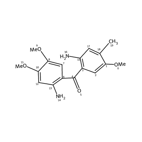 COc1cc(C(=O)c2cc(OC)c(OC)cc2N)c(N)cc1C